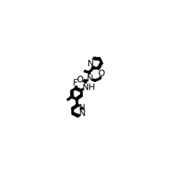 Cc1cc(F)c(NC(=O)N2CCOc3cccnc3C2C)cc1-c1cccnn1